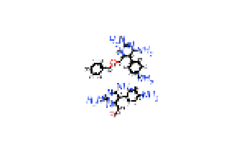 Nc1ccc(-c2c(N)nc(N)nc2CBr)cc1.Nc1ccc(-c2c(N)nc(N)nc2COCc2ccccc2)cc1